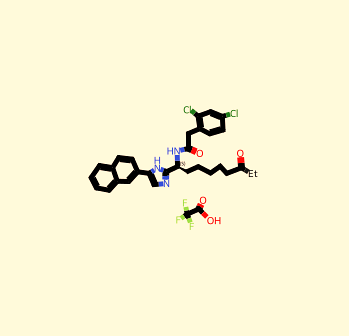 CCC(=O)CCCCC[C@H](NC(=O)Cc1ccc(Cl)cc1Cl)c1ncc(-c2ccc3ccccc3c2)[nH]1.O=C(O)C(F)(F)F